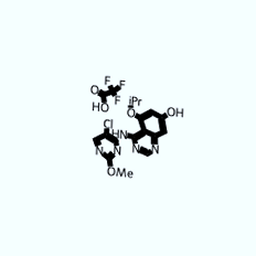 COc1ncc(Cl)c(Nc2ncnc3cc(O)cc(OC(C)C)c23)n1.O=C(O)C(F)(F)F